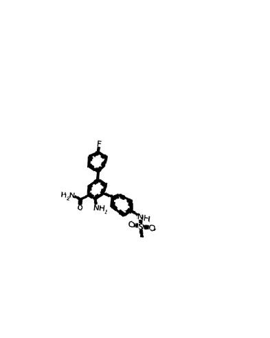 CS(=O)(=O)Nc1ccc(-c2cc(-c3ccc(F)cc3)cc(C(N)=O)c2N)cc1